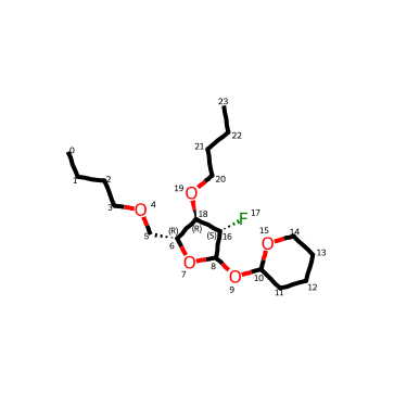 CCCCOC[C@H]1OC(OC2CCCCO2)[C@@H](F)[C@@H]1OCCCC